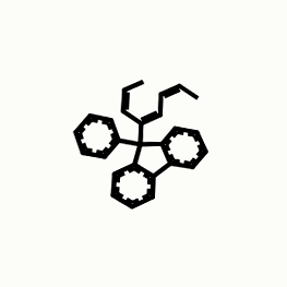 C\C=C/C=C(\C=C/C)C1(c2ccccc2)c2ccccc2-c2ccccc21